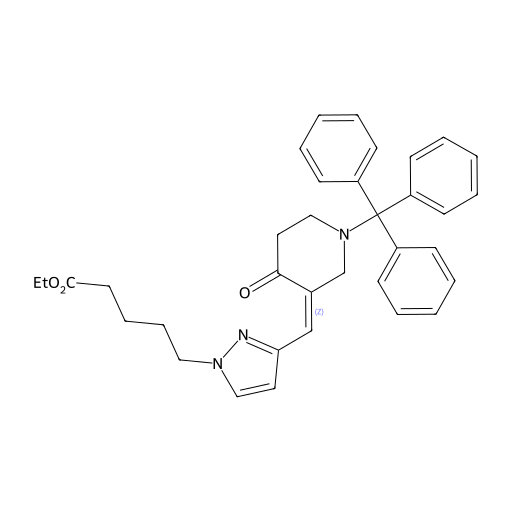 CCOC(=O)CCCCn1ccc(/C=C2/CN(C(c3ccccc3)(c3ccccc3)c3ccccc3)CCC2=O)n1